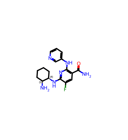 NC(=O)c1cc(F)c(N[C@@H]2CCCC[C@@H]2N)nc1Nc1cccnc1